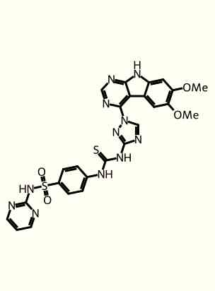 COc1cc2[nH]c3ncnc(-n4cnc(NC(=S)Nc5ccc(S(=O)(=O)Nc6ncccn6)cc5)n4)c3c2cc1OC